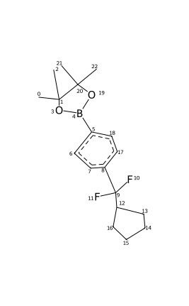 CC1(C)OB(c2ccc(C(F)(F)C3CCCC3)cc2)OC1(C)C